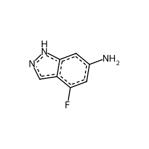 Nc1cc(F)c2cn[nH]c2c1